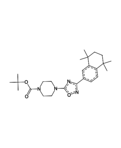 CC(C)(C)OC(=O)N1CCN(c2nc(-c3ccc4c(c3)C(C)(C)CCC4(C)C)no2)CC1